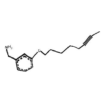 CC#CCCCCCOc1cccc(CN)c1